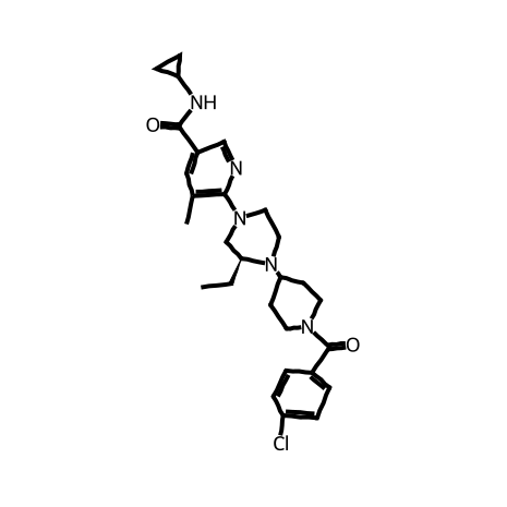 CC[C@H]1CN(c2ncc(C(=O)NC3CC3)cc2C)CCN1C1CCN(C(=O)c2ccc(Cl)cc2)CC1